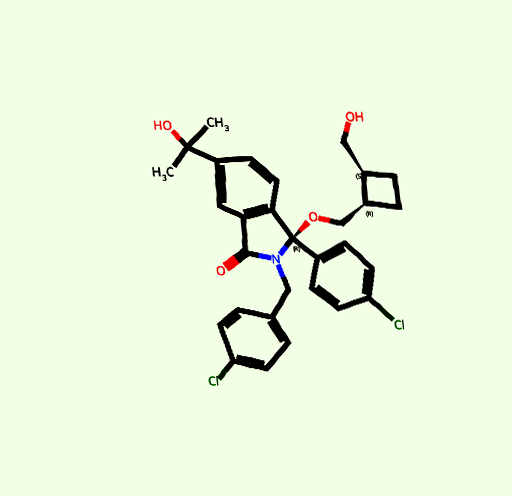 CC(C)(O)c1ccc2c(c1)C(=O)N(Cc1ccc(Cl)cc1)[C@@]2(OC[C@@H]1CC[C@@H]1CO)c1ccc(Cl)cc1